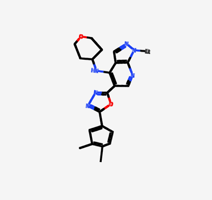 CCn1ncc2c(NC3CCOCC3)c(-c3nnc(-c4ccc(C)c(C)c4)o3)cnc21